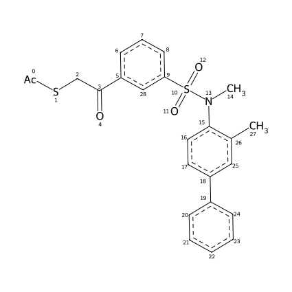 CC(=O)SCC(=O)c1cccc(S(=O)(=O)N(C)c2ccc(-c3ccccc3)cc2C)c1